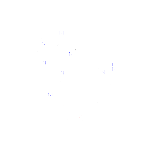 CC(C)CNCCn1c(Cc2cc3c(cc2-c2cc[nH]n2)OCO3)nc2c(N)nc(F)nc21